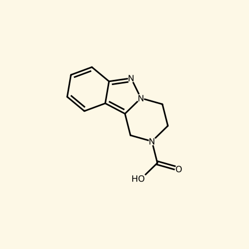 O=C(O)N1CCn2nc3ccccc3c2C1